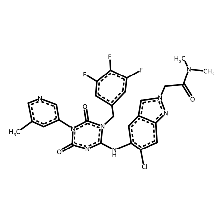 Cc1cncc(-n2c(=O)nc(Nc3cc4cn(CC(=O)N(C)C)nc4cc3Cl)n(Cc3cc(F)c(F)c(F)c3)c2=O)c1